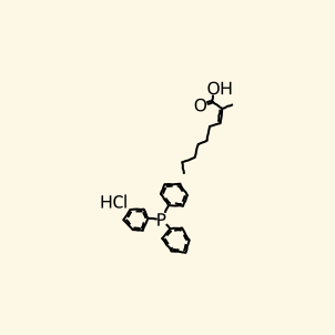 CCCCCCC=C(C)C(=O)O.Cl.c1ccc(P(c2ccccc2)c2ccccc2)cc1